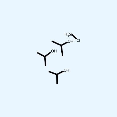 CC(C)O.CC(C)O.CC(C)O.[SiH3]Cl